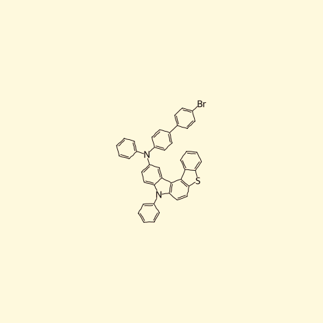 Brc1ccc(-c2ccc(N(c3ccccc3)c3ccc4c(c3)c3c5c(ccc3n4-c3ccccc3)sc3ccccc35)cc2)cc1